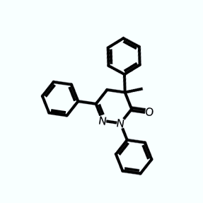 CC1(c2ccccc2)CC(c2ccccc2)=NN(c2ccccc2)C1=O